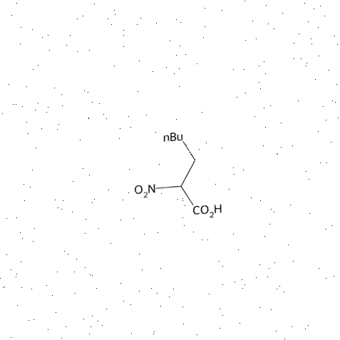 CCCCCC(C(=O)O)[N+](=O)[O-]